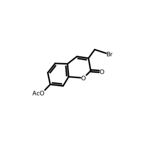 CC(=O)Oc1ccc2cc(CBr)c(=O)oc2c1